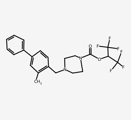 Cc1cc(-c2ccccc2)ccc1CN1CCN(C(=O)OC(C(F)(F)F)C(F)(F)F)CC1